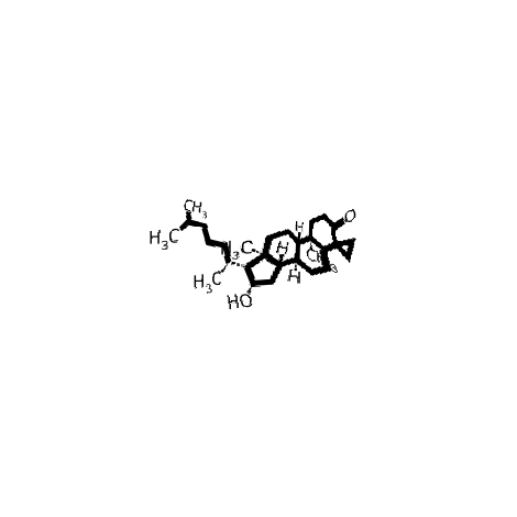 CC(C)CCC[C@@H](C)[C@H]1[C@@H](O)C[C@H]2[C@@H]3CC=C4C5(CC5)C(=O)CC[C@]4(C)[C@H]3CC[C@]12C